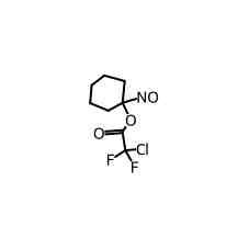 O=NC1(OC(=O)C(F)(F)Cl)CCCCC1